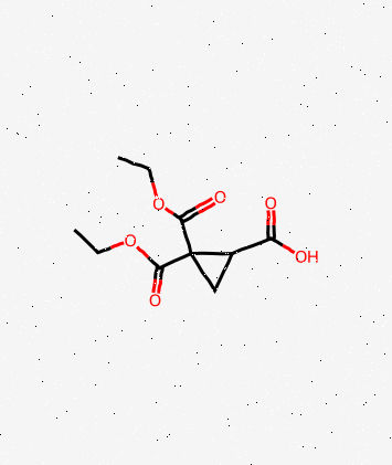 CCOC(=O)C1(C(=O)OCC)CC1C(=O)O